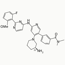 COc1cccc(F)c1-c1nccc(Nc2cc(N3CCC[C@H](N)C3)c(-c3cccc(C(=O)N(C)C)c3)cn2)n1